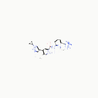 CC(C)n1nnnc1-c1cccc(NC(=O)c2cc(-c3cnn(C4CC4)c3)c(C(F)(F)F)cn2)n1